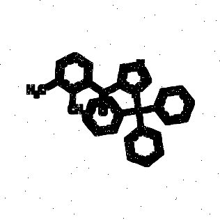 Cc1cccc(C(=O)c2cncn2C(c2ccccc2)(c2ccccc2)c2ccccc2)c1C